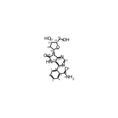 NC(=O)c1ccccc1-c1ncnc2c1[nH]c(=O)n2[C@H]1C[C@H](O)[C@@H](CO)O1